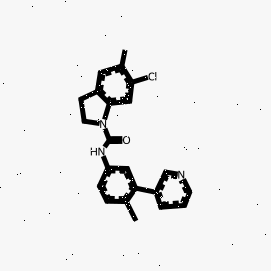 Cc1cc2c(cc1Cl)N(C(=O)Nc1ccc(C)c(-c3cccnc3)c1)CC2